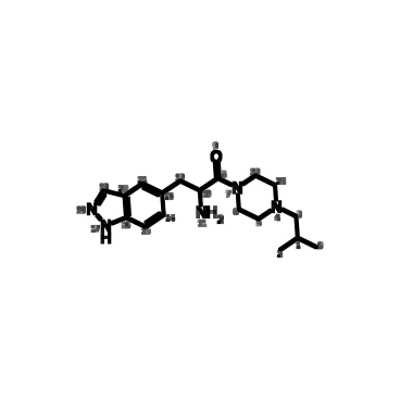 CC(C)CN1CCN(C(=O)C(N)Cc2ccc3[nH]ncc3c2)CC1